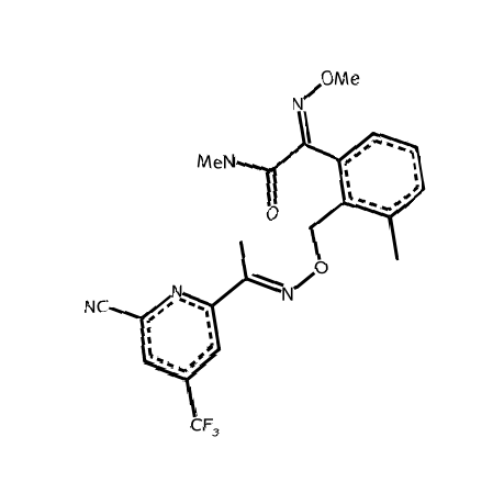 CNC(=O)/C(=N/OC)c1cccc(C)c1CO/N=C(\C)c1cc(C(F)(F)F)cc(C#N)n1